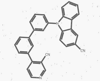 N#Cc1ccc2c(c1)c1ccccc1n2-c1cccc(-c2cccc(-c3ccncc3C#N)c2)c1